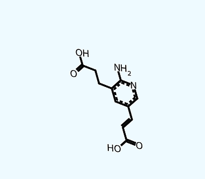 Nc1ncc(C=CC(=O)O)cc1CCC(=O)O